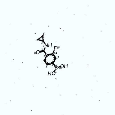 O=C(NC1CC1)c1ccc(B(O)O)cc1F